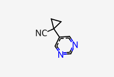 N#CC1(c2cncnc2)CC1